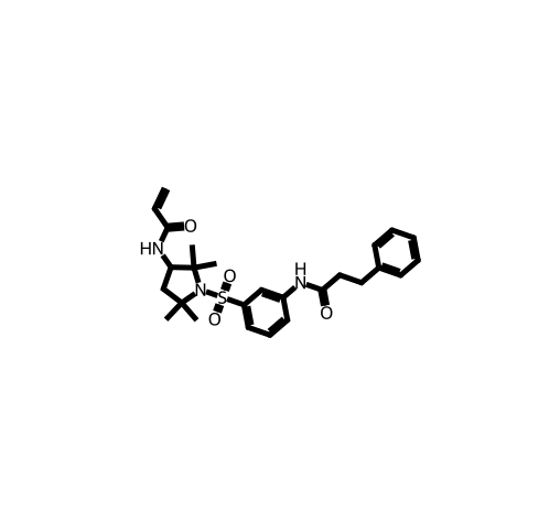 C=CC(=O)NC1CC(C)(C)N(S(=O)(=O)c2cccc(NC(=O)CCc3ccccc3)c2)C1(C)C